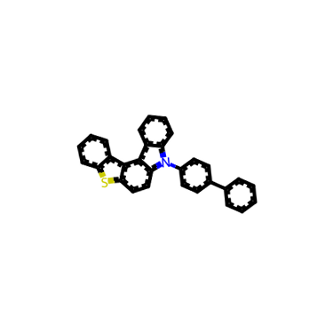 c1ccc(-c2ccc(-n3c4ccccc4c4c5c(ccc43)sc3ccccc35)cc2)cc1